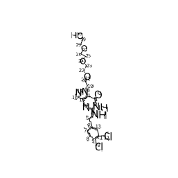 O=c1[nH]c(NCc2ccc(Cl)c(Cl)c2)nc2cnn(CCOCCOCCOCCO)c12